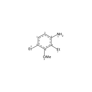 CCc1ccc(N)c(CC)c1OC